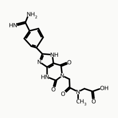 CN(CC(=O)O)C(=O)Cn1c(=O)[nH]c2nc(-c3ccc(C(=N)N)cc3)[nH]c2c1=O